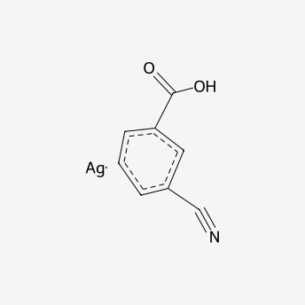 N#Cc1cccc(C(=O)O)c1.[Ag]